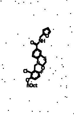 CCCCCCCCOc1ccc(F)c(CN2C(=O)CSc3cc(C(=O)NCc4ccco4)ccc32)c1Cl